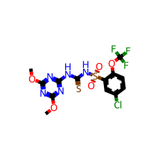 COc1nc(NC(=S)NS(=O)(=O)c2cc(Cl)ccc2OC(F)(F)F)nc(OC)n1